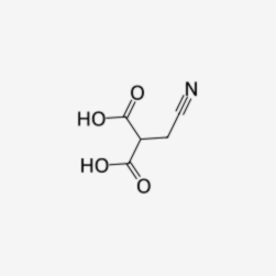 N#CCC(C(=O)O)C(=O)O